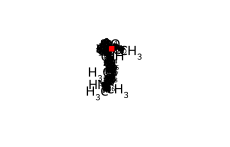 CCOC(=O)CN1C=CC=C2C=CC=C(S(=O)(=O)Nc3ccc4c(c3)cc(Cc3ccc(C(=N)N(C)C)cc3)n4C)C21